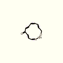 O=C1/C=C/C=C\C=C\CON/N=C\C=C\1